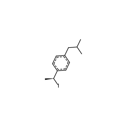 CC(C)Cc1ccc([C@H](C)I)cc1